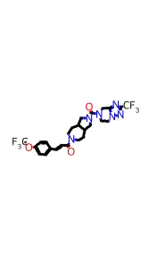 O=C(/C=C/c1ccc(OC(F)(F)F)cc1)N1CCC2CN(C(=O)N3CCn4nc(C(F)(F)F)nc4C3)CC2CC1